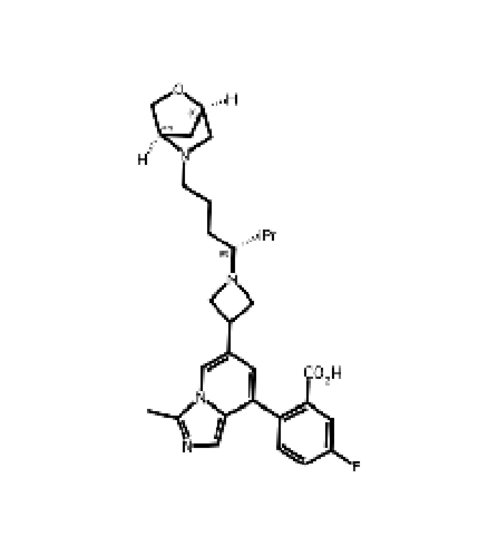 Cc1ncc2c(-c3ccc(F)cc3C(=O)O)cc(C3CN([C@H](CCCN4C[C@H]5C[C@@H]4CO5)C(C)C)C3)cn12